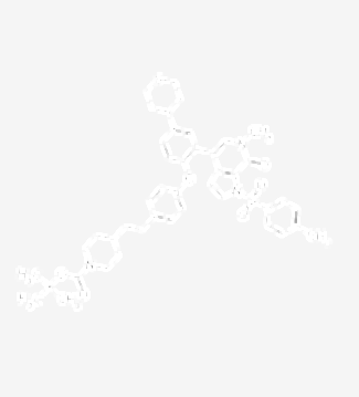 Cc1ccc(S(=O)(=O)n2ccc3c(-c4cc(C5CCSCC5)ccc4Oc4ccc(CCC5CCN(C(=O)OC(C)(C)C)CC5)cc4)cn(C)c(=O)c32)cc1